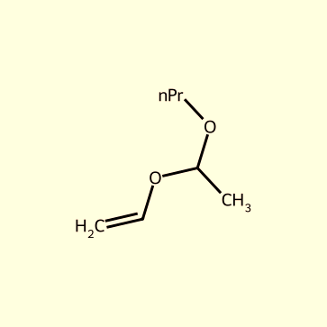 C=COC(C)OC[CH]C